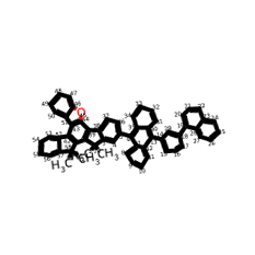 CC1(C)c2cc(-c3c4ccccc4c(-c4cccc(-c5cccc6ccccc56)c4)c4ccccc34)ccc2-c2c1c1c(c3c2oc2ccccc23)-c2ccccc2C1(C)C